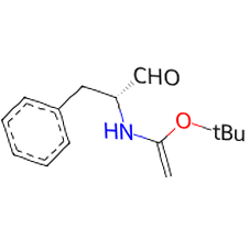 C=C(N[C@@H](C=O)Cc1ccccc1)OC(C)(C)C